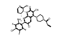 C=CC(=O)N1CCN(c2c(C#N)c(=O)n([C@H]3C(C(C)C)=NC=C[C@H]3C)c3nc(-c4c(N)c(F)c(Cl)c(F)c4F)c(Cl)cc23)CC1